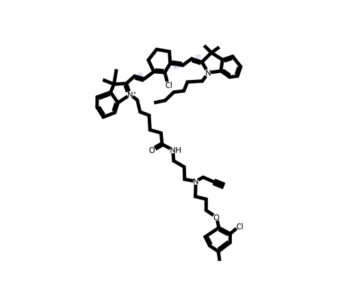 C#CCN(CCCNC(=O)CCCCC[N+]1=C(/C=C/C2=C(Cl)C(=C/C=C3\N(CCCCCC)c4ccccc4C3(C)C)/CCC2)C(C)(C)c2ccccc21)CCCOc1ccc(C)cc1Cl